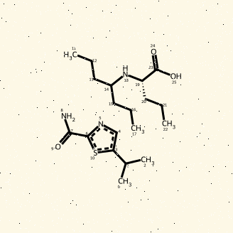 CC(C)c1cnc(C(N)=O)s1.CCCC(CCC)N[C@@H](CCC)C(=O)O